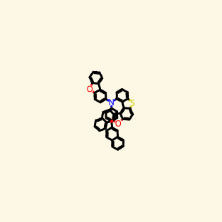 c1ccc2cc(-c3ccc(N(c4ccc5oc6ccccc6c5c4)c4cccc5sc6ccc7oc8c9ccccc9ccc8c7c6c45)cc3)ccc2c1